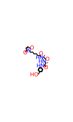 C[C@H](NC(=O)CCCCCN1C(=O)C=CC1=O)C(=O)N[C@@H](C)C(=O)Nc1ccc(CO)cc1